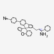 N#Cc1ccc(-c2ccc3c(c2)C2(c4ccccc4Oc4ccccc42)c2cc(C/C=C(\N)c4ccccc4)ccc2-3)cc1